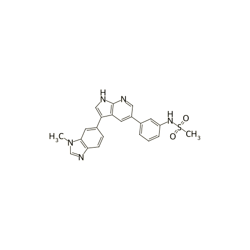 Cn1cnc2ccc(-c3c[nH]c4ncc(-c5cccc(NS(C)(=O)=O)c5)cc34)cc21